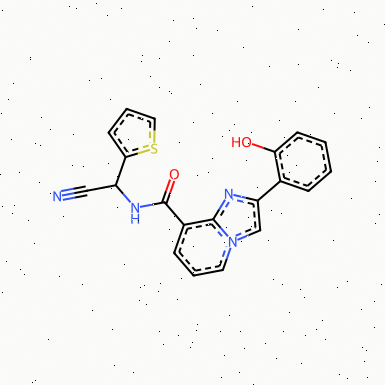 N#CC(NC(=O)c1cccn2cc(-c3ccccc3O)nc12)c1cccs1